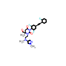 CN(CCN1C(=O)N(c2c(F)cc(C#Cc3ccccc3F)cc2F)C(=O)CC1(C)C=O)c1cnn(C)c1